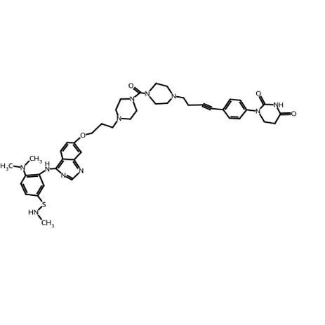 CNSc1ccc(N(C)C)c(Nc2ncnc3cc(OCCCN4CCN(C(=O)N5CCN(CCC#Cc6ccc(N7CCC(=O)NC7=O)cc6)CC5)CC4)ccc23)c1